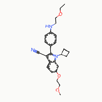 CCOCCNc1ccc(-c2c(C#N)c3ccc(OCCOC)cc3n2C2CCC2)cc1